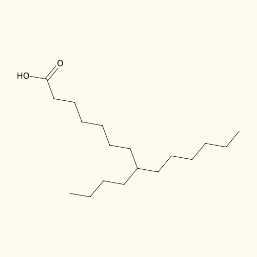 CCCCCCC(CCCC)CCCCCCC(=O)O